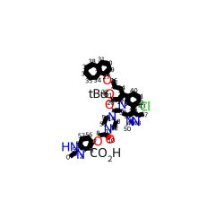 Cc1nc2c(C(=O)O)c(OCC(=O)N3CCN(CCn4c(C(=O)OC(C)(C)C)c(CCCOc5cccc6c5CC=CC=C6)c5ccc(Cl)c(-c6c(C)nn(C)c6C)c54)CC3)ccc2[nH]1